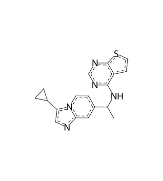 CC(Nc1ncnc2sccc12)c1ccn2c(C3CC3)cnc2c1